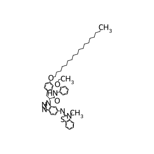 CCCCCCCCCCCCCCCCCCOc1ccc(CC(C(=O)Nc2ccccc2OCC)n2nnc3ccc(/N=c4\sc5ccccc5n4C)cc32)cc1